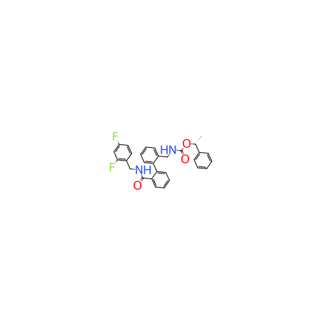 C[C@@H](OC(=O)NCc1ccccc1-c1ccccc1C(=O)NCc1ccc(F)cc1F)c1ccccc1